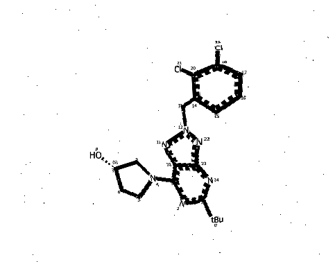 CC(C)(C)c1nc(N2CC[C@H](O)C2)c2nn(Cc3cccc(Cl)c3Cl)nc2n1